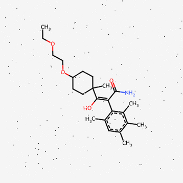 CCOCCOC1CCC(C)(/C(O)=C(\C(N)=O)c2c(C)cc(C)c(C)c2C)CC1